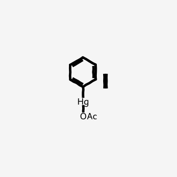 C=C.CC(=O)[O][Hg][c]1ccccc1